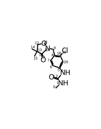 CNC(=O)Nc1ccc(CN2OCC(C)(C)C2=O)c(Cl)c1